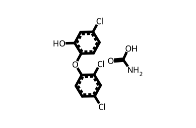 NC(=O)O.Oc1cc(Cl)ccc1Oc1ccc(Cl)cc1Cl